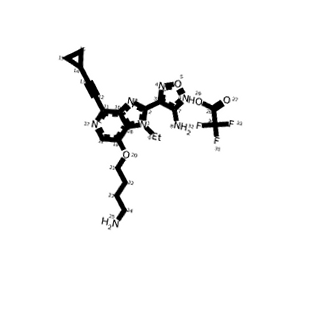 CCn1c(-c2nonc2N)nc2c(C#CC3CC3)ncc(OCCCCN)c21.O=C(O)C(F)(F)F